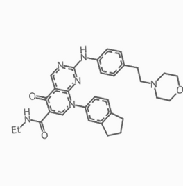 CCNC(=O)c1cn(-c2ccc3c(c2)CCC3)c2nc(Nc3ccc(CCN4CCOCC4)cc3)ncc2c1=O